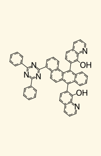 Oc1c(-c2c3ccccc3c(-c3ccc4cccnc4c3O)c3c2ccc2c(-c4nc(-c5ccccc5)nc(-c5ccccc5)n4)cccc23)ccc2cccnc12